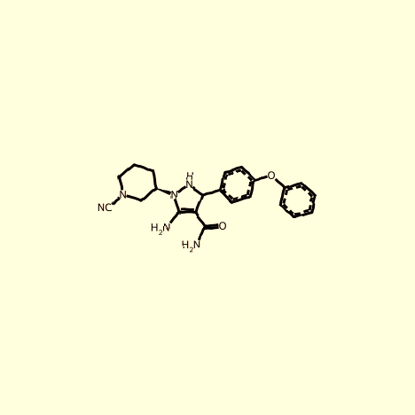 N#CN1CCC[C@@H](N2NC(c3ccc(Oc4ccccc4)cc3)C(C(N)=O)=C2N)C1